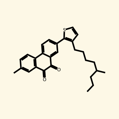 CCCC(C)CCCCc1ccsc1-c1ccc2c(c1)C(=O)C(=O)c1cc(C)ccc1-2